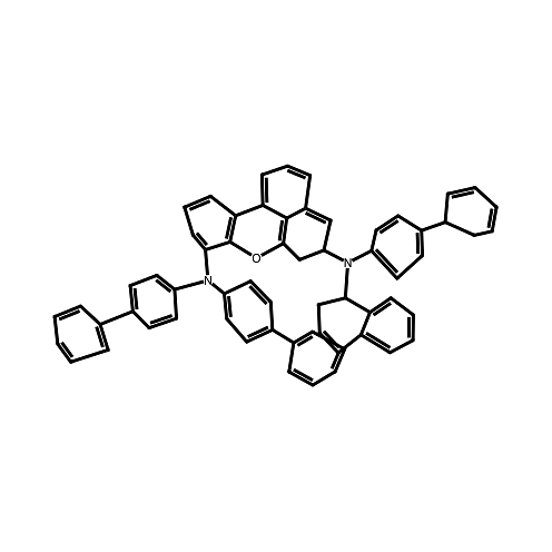 C1=CCC(c2ccc(N(C3C=c4cccc5c4=C(C3)Oc3c-5cccc3N(c3ccc(-c4ccccc4)cc3)c3ccc(-c4ccccc4)cc3)C3CC=Cc4ccccc43)cc2)C=C1